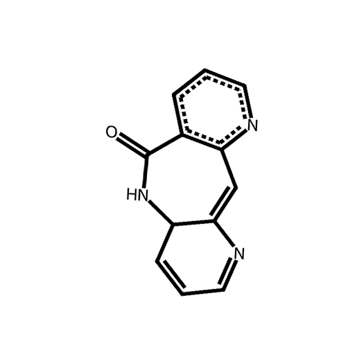 O=C1NC2C=CC=NC2=Cc2ncccc21